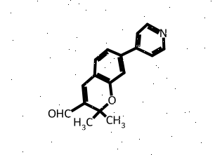 CC1(C)Oc2cc(-c3ccncc3)ccc2C=C1C=O